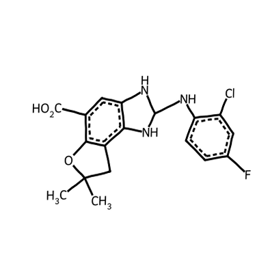 CC1(C)Cc2c3c(cc(C(=O)O)c2O1)NC(Nc1ccc(F)cc1Cl)N3